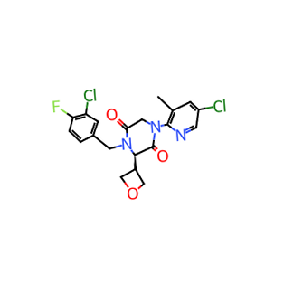 Cc1cc(Cl)cnc1N1CC(=O)N(Cc2ccc(F)c(Cl)c2)[C@H](C2COC2)C1=O